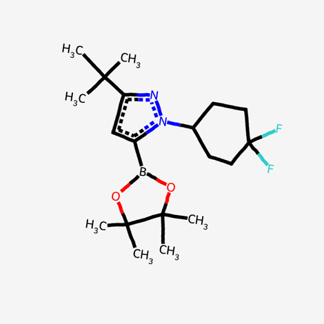 CC(C)(C)c1cc(B2OC(C)(C)C(C)(C)O2)n(C2CCC(F)(F)CC2)n1